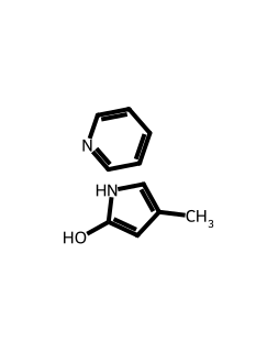 Cc1c[nH]c(O)c1.c1ccncc1